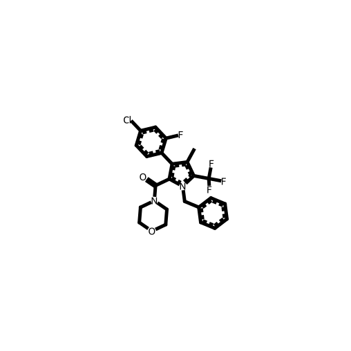 Cc1c(-c2ccc(Cl)cc2F)c(C(=O)N2CCOCC2)n(Cc2ccccc2)c1C(F)(F)F